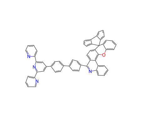 c1ccc(-c2cc(-c3ccc(-c4ccc(-c5nc6ccccc6c6c7c(ccc56)C5(c6ccccc6O7)c6ccccc6-c6ccccc65)cc4)cc3)cc(-c3ccccn3)n2)nc1